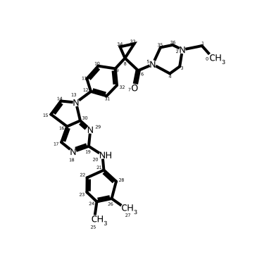 CCN1CCN(C(=O)C2(c3ccc(-n4ccc5cnc(Nc6ccc(C)c(C)c6)nc54)cc3)CC2)CC1